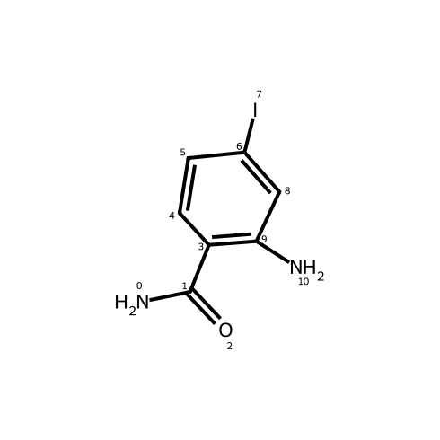 NC(=O)c1ccc(I)cc1N